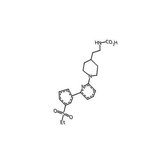 CCS(=O)(=O)c1cccc(-c2cccc(N3CCC(CCNC(=O)O)CC3)n2)c1